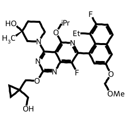 CCc1c(F)ccc2cc(OCOC)cc(-c3nc(OC(C)C)c4c(N5CCC[C@@](C)(O)C5)nc(OCC5(CO)CC5)nc4c3F)c12